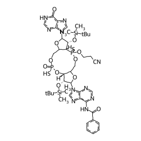 CC(C)(C)[Si](C)(C)O[C@H]1C(n2cnc3c(NC(=O)c4ccccc4)ncnc32)OC2COP(=S)(OCCC#N)[C@@H]3C(COP(=O)(S)O[C@H]21)OC(n1cnc2c(=O)[nH]cnc21)[C@@H]3O[Si](C)(C)C(C)(C)C